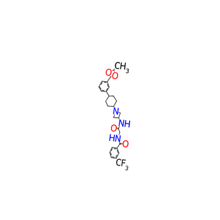 CC1OC(c2cccc(C3CCC(N4CC(NC(=O)CNC(=O)c5cccc(C(F)(F)F)c5)C4)CC3)c2)O1